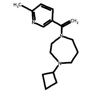 C=C(c1ccc(C)nc1)N1CCCN(C2CCC2)CC1